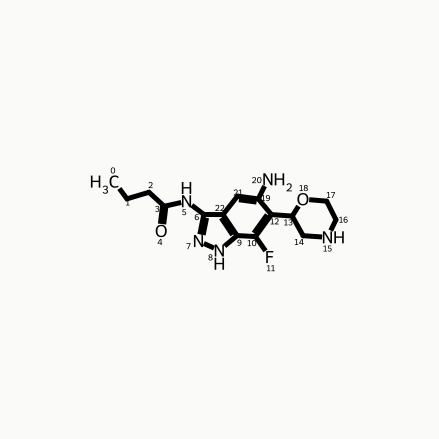 CCCC(=O)Nc1n[nH]c2c(F)c(C3CNCCO3)c(N)cc12